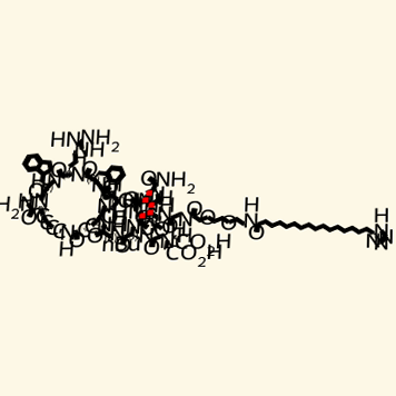 CCCC[C@H](NC(=O)[C@H](CNC(=O)CN(CC(=O)O)CC(=O)O)NC(=O)[C@H](Cc1cnc[nH]1)NC(=O)[C@H](CCC(N)=O)NC(=O)[C@H](CO)NC(=O)CNC(=O)COCCOCCNC(=O)CCCCCCCCCCCCCCCc1nnn[nH]1)C(=O)N[C@H]1CCC(=O)NCCCC[C@@H](C(N)=O)NC(=O)[C@@H](CC2CCc3ccccc32)NC(=O)[C@H](CCCNC(=N)N)NC(=O)[C@@H](Cc2ccccc2)NC(=O)[C@@H]2C[C@@H](O)CN2C1=O